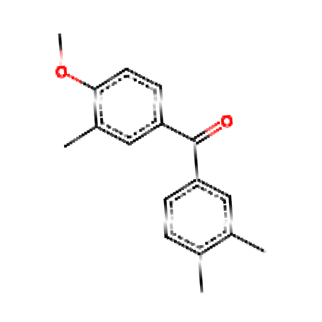 COc1ccc(C(=O)c2ccc(C)c(C)c2)cc1C